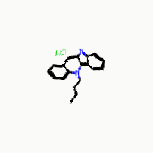 CCCCn1c2c3ccccc3nc-2cc2ccccc21.Cl